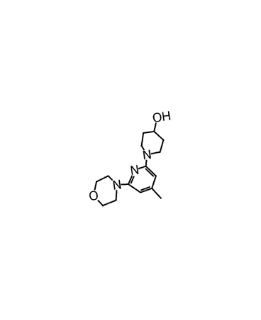 Cc1cc(N2CCOCC2)nc(N2CCC(O)CC2)c1